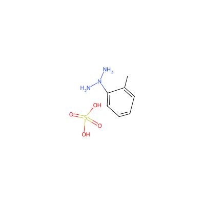 Cc1ccccc1N(N)N.O=S(=O)(O)O